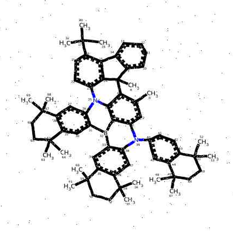 Cc1cc2c3c4c1C1(C)c5ccccc5-c5c(C(C)(C)C)ccc(c51)N4c1cc4c(cc1B3c1cc3c(cc1N2c1ccc2c(c1)C(C)(C)CCC2(C)C)C(C)(C)CCC3(C)C)C(C)(C)CCC4(C)C